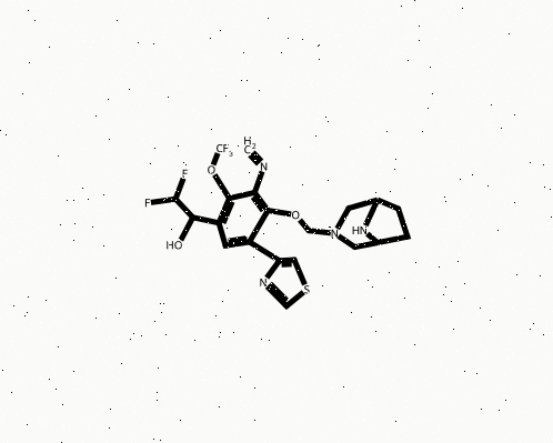 C=Nc1c(OCN2CC3CCC(C2)N3)c(-c2cscn2)cc(C(O)C(F)F)c1OC(F)(F)F